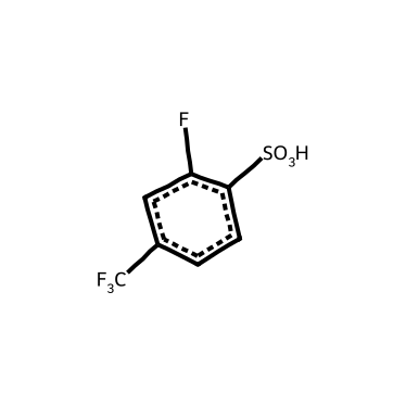 O=S(=O)(O)c1ccc(C(F)(F)F)cc1F